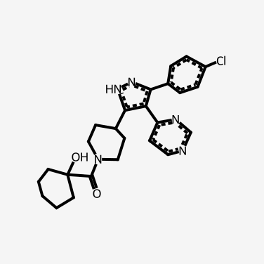 O=C(N1CCC(c2[nH]nc(-c3ccc(Cl)cc3)c2-c2ccncn2)CC1)C1(O)CCCCC1